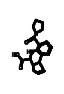 O=C(O)C1Nc2c(C(=O)N3CCCC3)cccc2C2C=CCC12